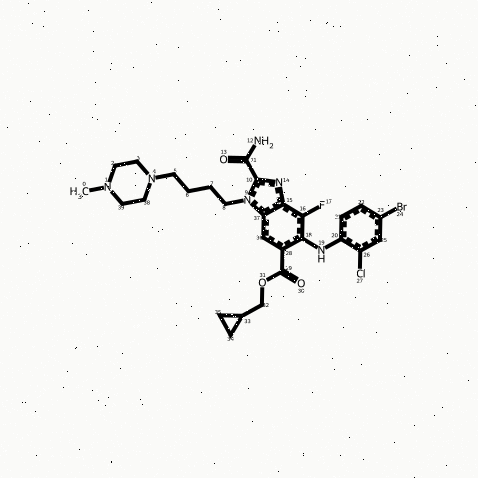 CN1CCN(CCCCn2c(C(N)=O)nc3c(F)c(Nc4ccc(Br)cc4Cl)c(C(=O)OCC4CC4)cc32)CC1